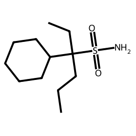 CCCC(CC)(C1CCCCC1)S(N)(=O)=O